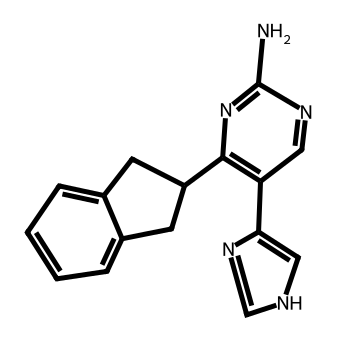 Nc1ncc(-c2c[nH]cn2)c(C2Cc3ccccc3C2)n1